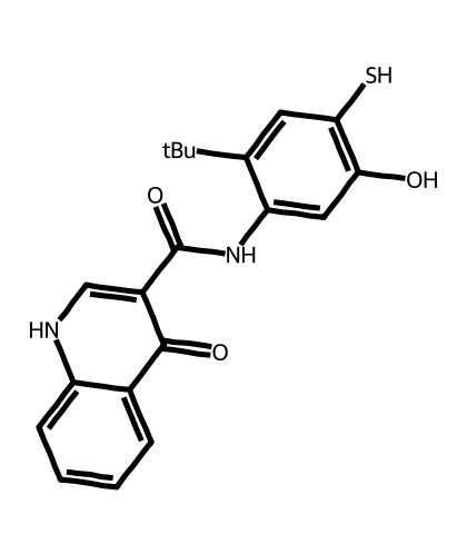 CC(C)(C)c1cc(S)c(O)cc1NC(=O)c1c[nH]c2ccccc2c1=O